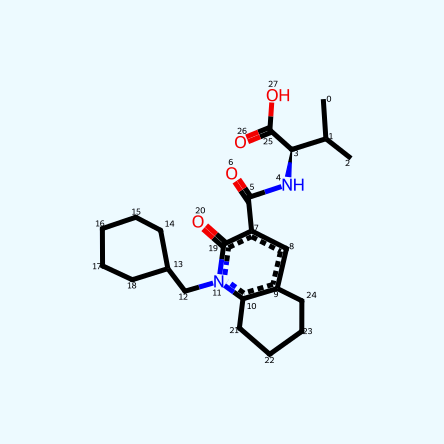 CC(C)[C@@H](NC(=O)c1cc2c(n(CC3CCCCC3)c1=O)CCCC2)C(=O)O